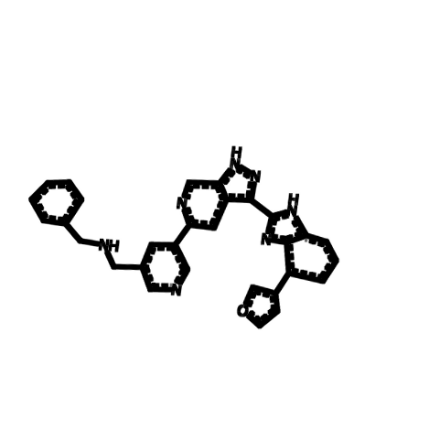 c1ccc(CNCc2cncc(-c3cc4c(-c5nc6c(-c7ccoc7)cccc6[nH]5)n[nH]c4cn3)c2)cc1